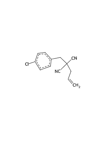 C=CCC(C#N)(C#N)Cc1ccc(Cl)cc1